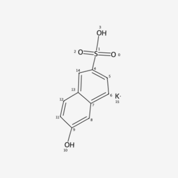 O=S(=O)(O)c1ccc2cc(O)ccc2c1.[K]